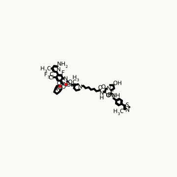 Cc1cc(N)nc(-c2c(Cl)cc3c(N4CC5CCC(C4)N5C(=O)OC(C)(C)C)nc(OC[C@]4(C)CCCN(CCCCCCC(=O)N[C@H](C(=O)N5C[C@H](O)C[C@H]5C(=O)NCc5ccc(-c6scnc6C)cc5)C(C)(C)C)C4)nc3c2F)c1C(F)(F)F